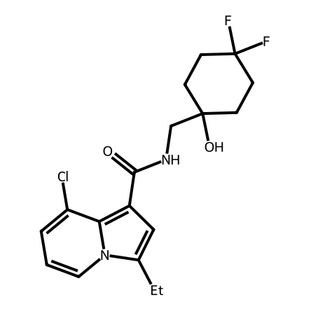 CCc1cc(C(=O)NCC2(O)CCC(F)(F)CC2)c2c(Cl)cccn12